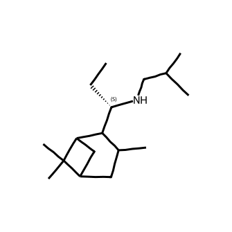 CC[C@H](NCC(C)C)C1C(C)CC2CC1C2(C)C